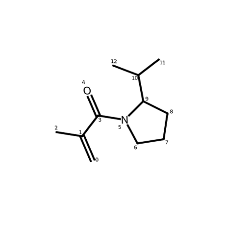 C=C(C)C(=O)N1CCCC1C(C)C